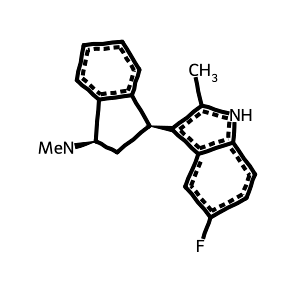 CN[C@@H]1C[C@H](c2c(C)[nH]c3ccc(F)cc23)c2ccccc21